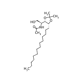 CCCCCCCCCCCCCC[C@H]1OC(C)(C)O[C@H]1[C@H](CO)NC(C)=O